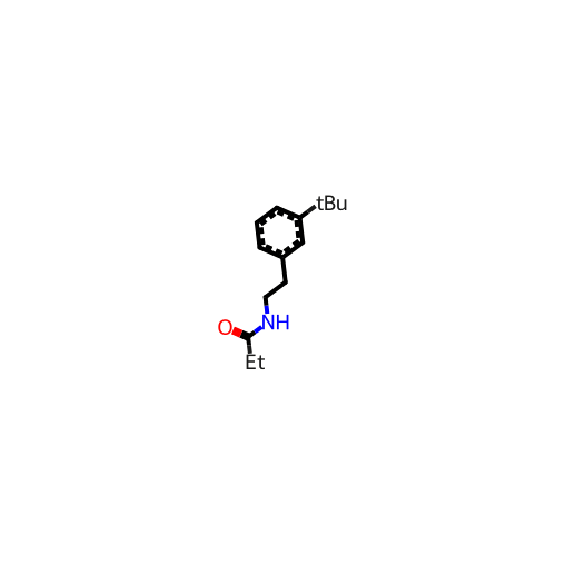 CCC(=O)NCCc1cccc(C(C)(C)C)c1